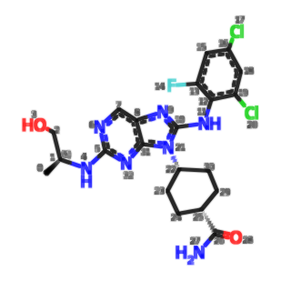 C[C@@H](CO)Nc1ncc2nc(Nc3c(F)cc(Cl)cc3Cl)n([C@H]3CC[C@@H](C(N)=O)CC3)c2n1